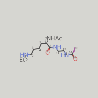 CCNCCCC[C@@H](NC(C)=O)C(=O)NCCNC(=O)I